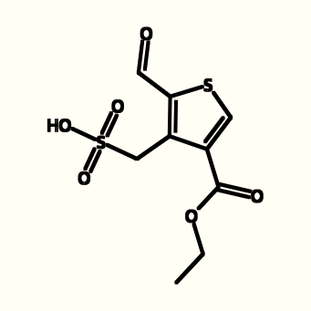 CCOC(=O)c1csc(C=O)c1CS(=O)(=O)O